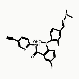 C#Cc1ccc(NC(=O)c2cc(Cl)ccc2N(C=O)c2ccc(C=NN(C)C)cc2F)nc1